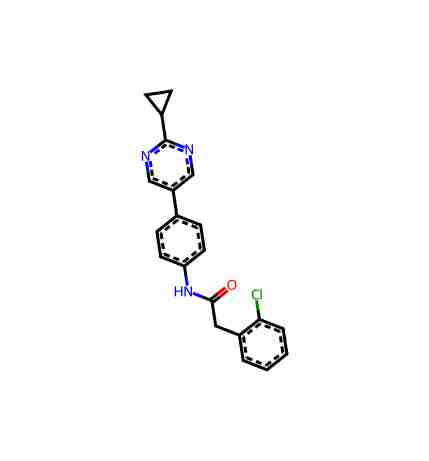 O=C(Cc1ccccc1Cl)Nc1ccc(-c2cnc(C3CC3)nc2)cc1